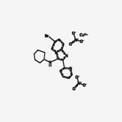 Brc1ccc2nc(-c3ccccn3)c(NC3CCCCC3)n2c1.O=[N+]([O-])[O-].O=[N+]([O-])[O-].[Cu+2]